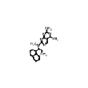 CN(c1ncc2c(N)nc(N)nc2n1)C(CN)c1cccc2ccccc12